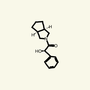 O=C([C@H](O)c1ccccc1)N1C[C@H]2CCC[C@H]2C1